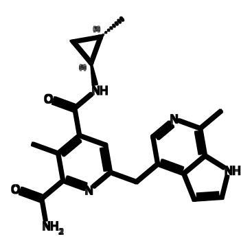 Cc1c(C(=O)N[C@H]2C[C@@H]2C)cc(Cc2cnc(C)c3[nH]ccc23)nc1C(N)=O